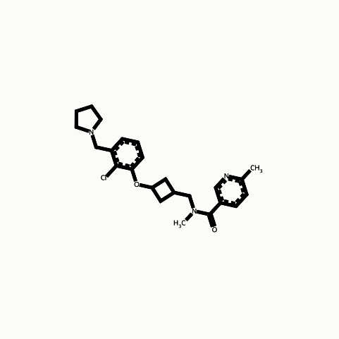 Cc1ccc(C(=O)N(C)CC2CC(Oc3cccc(CN4CCCC4)c3Cl)C2)cn1